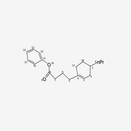 CCCC1CC=C(CCCC(=O)Oc2ccccc2)CC1